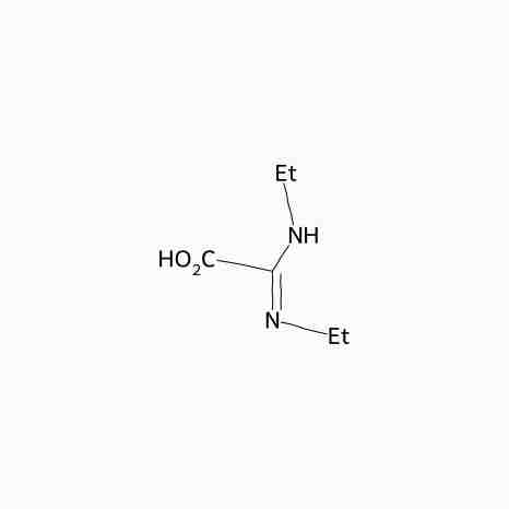 CCN=C(NCC)C(=O)O